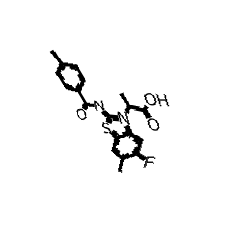 Cc1ccc(C(=O)N=c2sc3cc(C)c(F)cc3n2C(C)C(=O)O)cc1